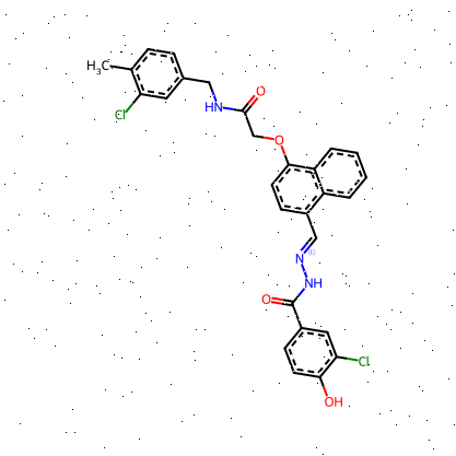 Cc1ccc(CNC(=O)COc2ccc(/C=N/NC(=O)c3ccc(O)c(Cl)c3)c3ccccc23)cc1Cl